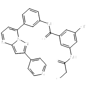 O=C(CCl)Nc1cc(C(=O)Nc2cccc(-c3ccnc4cc(-c5ccncc5)nn34)c2)cc(C(F)(F)F)c1